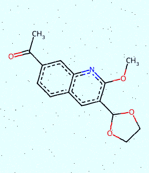 COc1nc2cc(C(C)=O)ccc2cc1C1OCCO1